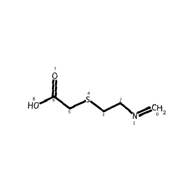 C=NCCSCC(=O)O